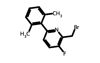 Cc1cccc(C)c1-c1ccc(F)c(CBr)n1